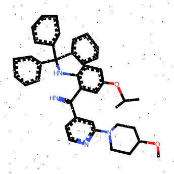 COC1CCN(c2cc(C(=N)c3cc(OC(C)C)ccc3NC(c3ccccc3)(c3ccccc3)c3ccccc3)ccn2)CC1